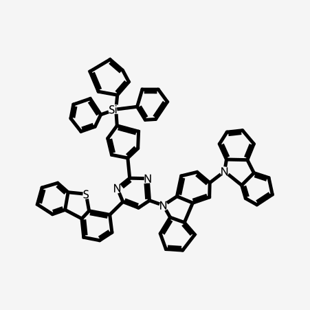 c1ccc([Si](c2ccccc2)(c2ccccc2)c2ccc(-c3nc(-c4cccc5c4sc4ccccc45)cc(-n4c5ccccc5c5cc(-n6c7ccccc7c7ccccc76)ccc54)n3)cc2)cc1